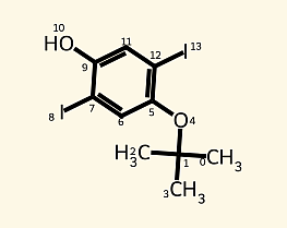 CC(C)(C)Oc1cc(I)c(O)cc1I